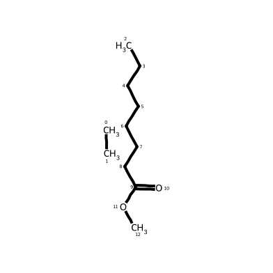 CC.CCCCCCCC(=O)OC